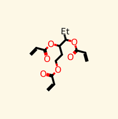 C=CC(=O)OCCC(OC(=O)C=C)C(CC)OC(=O)C=C